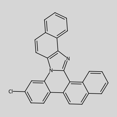 Clc1ccc2c3ccc4ccccc4c3c3nc4c5ccccc5ccc4n3c2c1